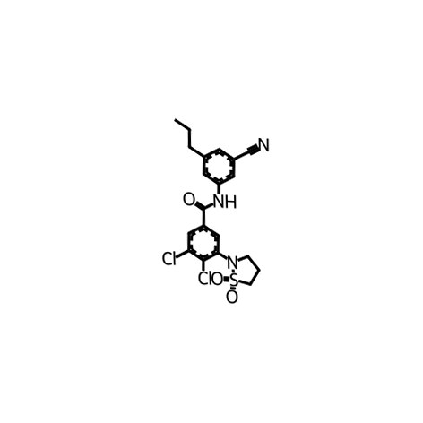 CCCc1cc(C#N)cc(NC(=O)c2cc(Cl)c(Cl)c(N3CCCS3(=O)=O)c2)c1